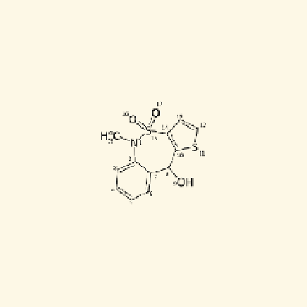 CN1c2ccccc2C(O)c2sccc2S1(=O)=O